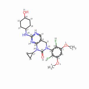 COc1cc(OC)c(F)c(N2Cc3cnc(NC4CCC(O)CC4)nc3N(C3CC3)C2=O)c1F